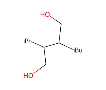 CCC(C)C(CO)C(CO)C(C)C